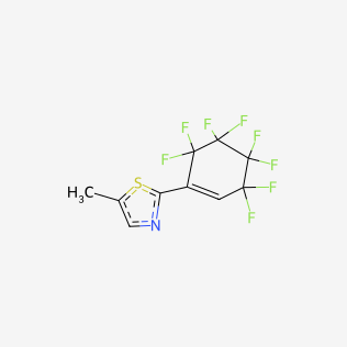 Cc1cnc(C2=CC(F)(F)C(F)(F)C(F)(F)C2(F)F)s1